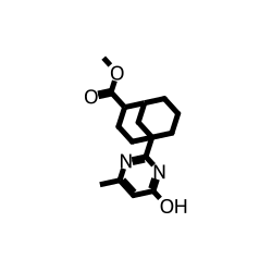 COC(=O)C1CCC2(c3nc(C)cc(O)n3)CCCC1C2